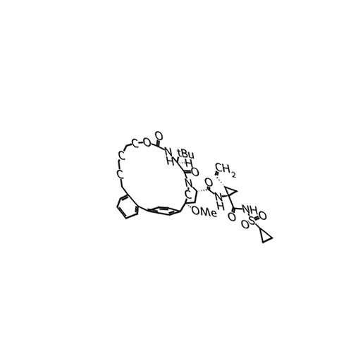 C=C[C@@H]1C[C@]1(NC(=O)[C@@H]1C[C@]2(OC)CN1C(=O)[C@H](C(C)(C)C)NC(=O)OCCCCCCc1ccccc1-c1ccc2cc1)C(=O)NS(=O)(=O)C1CC1